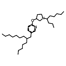 CCCCCCCC(CCCCC)Cc1ccc(OC2CCN(C(CCC)CCCCC)C2)nc1